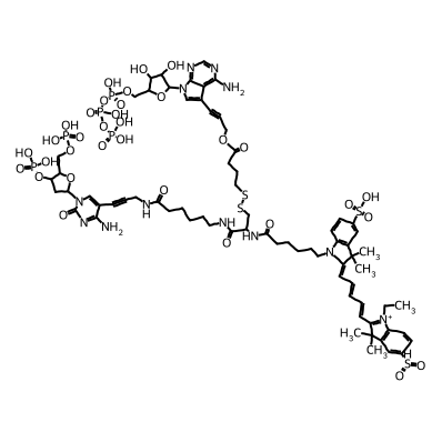 CC[N+]1=C(/C=C/C=C/C=C2/N(CCCCCC(=O)NC(CSSCCCC(=O)OCC#Cc3cn(C4OC(COP(=O)(O)OP(=O)(O)OP(=O)(O)O)C(O)C4O)c4ncnc(N)c34)C(=O)NCCCCCC(=O)NCC#Cc3cn(C4CC(OP(=O)(O)O)C(COP(=O)(O)O)O4)c(=O)nc3N)c3ccc(S(=O)(=O)O)cc3C2(C)C)C(C)(C)c2cc([SH](=O)=O)ccc21